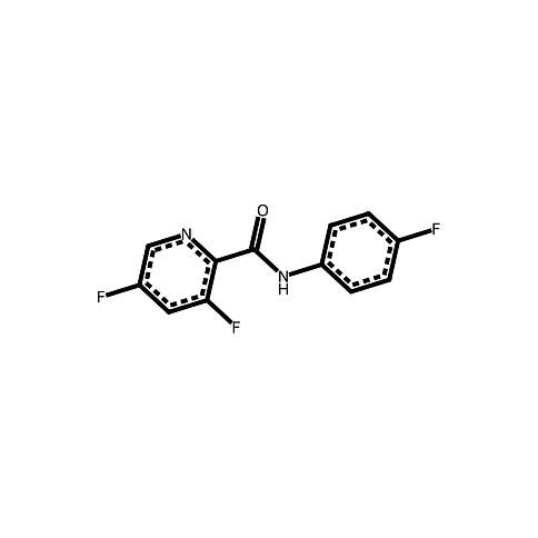 O=C(Nc1ccc(F)cc1)c1ncc(F)cc1F